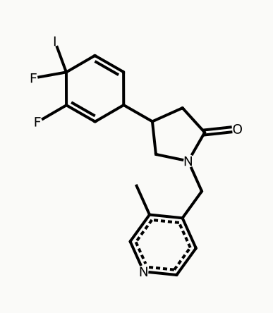 Cc1cnccc1CN1CC(C2C=CC(F)(I)C(F)=C2)CC1=O